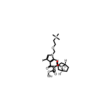 Cn1c(N2[C@H]3CC[C@H]2CC(C)(NC(=O)OC(C)(C)C)C3)nc2c(c(I)cn2COCC[Si](C)(C)C)c1=O